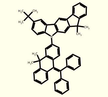 CC(C)(C)c1ccc2c(c1)c1cc3c(cc1n2-c1ccc2c(c1)C(C)(C)c1ccccc1C2=C(c1ccccc1)c1ccccc1)C(C)(C)c1ccccc1-3